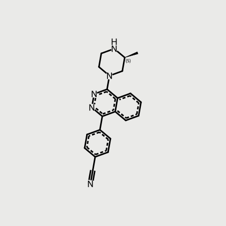 C[C@H]1CN(c2nnc(-c3ccc(C#N)cc3)c3ccccc23)CCN1